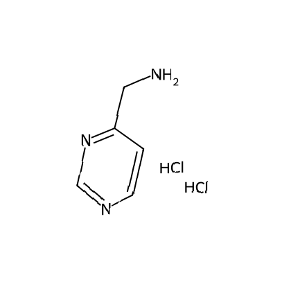 Cl.Cl.NCc1ccncn1